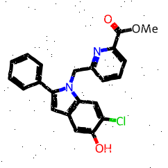 COC(=O)c1cccc(Cn2c(-c3ccccc3)cc3cc(O)c(Cl)cc32)n1